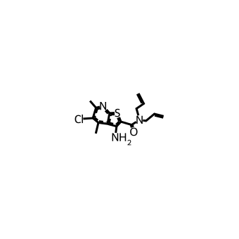 C=CCN(CC=C)C(=O)c1sc2nc(C)c(Cl)c(C)c2c1N